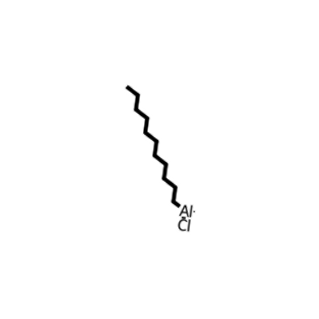 CCCCCCCCCC[CH2][Al][Cl]